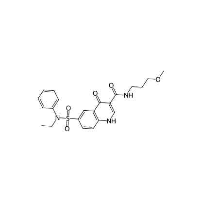 CCN(c1ccccc1)S(=O)(=O)c1ccc2[nH]cc(C(=O)NCCCOC)c(=O)c2c1